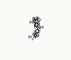 CN1c2nc(Nc3ccc(S(N)(=O)=O)cc3)ncc2NC(=O)C12CC2